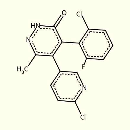 Cc1n[nH]c(=O)c(-c2c(F)cccc2Cl)c1-c1ccc(Cl)nc1